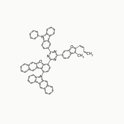 C=C/C=C\c1oc2cc(-c3nc(-c4ccc5c(c4)c4ccccc4n5-c4ccccc4)nc(-c4ccc(-n5c6ccccc6c6cc7ccccc7cc65)c5c4oc4cc6ccccc6cc45)n3)ccc2c1C